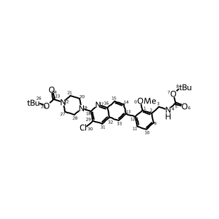 COc1c(CNC(=O)OC(C)(C)C)cccc1-c1ccc2nc(N3CCN(C(=O)OC(C)(C)C)CC3)c(Cl)cc2c1